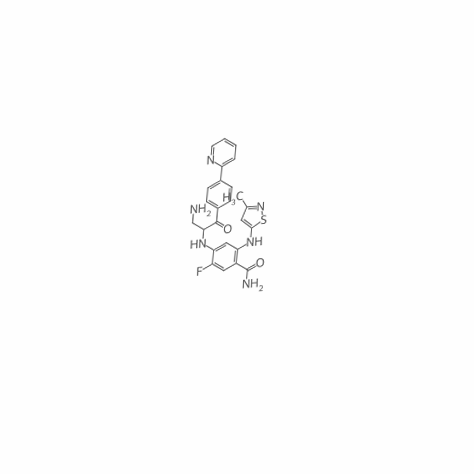 Cc1cc(Nc2cc(NC(CN)C(=O)c3ccc(-c4ccccn4)cc3)c(F)cc2C(N)=O)sn1